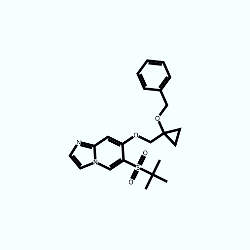 CC(C)(C)S(=O)(=O)c1cn2ccnc2cc1OCC1(OCc2ccccc2)CC1